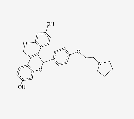 Oc1ccc2c(c1)OC(c1ccc(OCCN3CCCC3)cc1)C1=C2COc2cc(O)ccc21